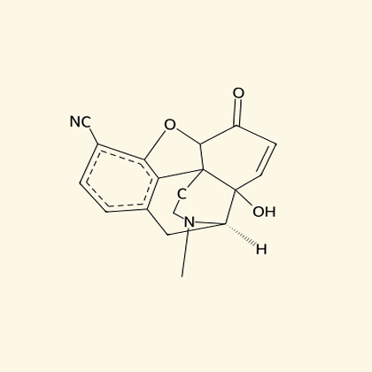 CN1CCC23c4c5ccc(C#N)c4OC2C(=O)C=CC3(O)[C@H]1C5